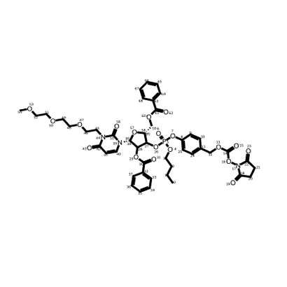 CCCCOP(=O)(Oc1ccc(COC(=O)ON2C(=O)CCC2=O)cc1)OC1C(OC(=O)c2ccccc2)[C@H](n2ccc(=O)n(CCOCCOCCOC)c2=O)O[C@@H]1COC(=O)c1ccccc1